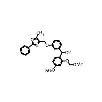 COCOc1cc(OC)ccc1C(O)c1cccc(OCc2nc(-c3ccccc3)oc2C)c1